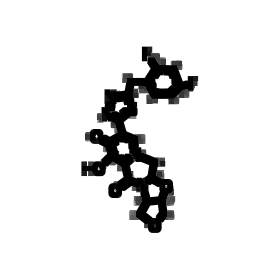 O=C1c2c(O)c(=O)c(-c3nnc(Cc4ccc(F)cc4F)s3)cn2CC2OC3COCC3N12